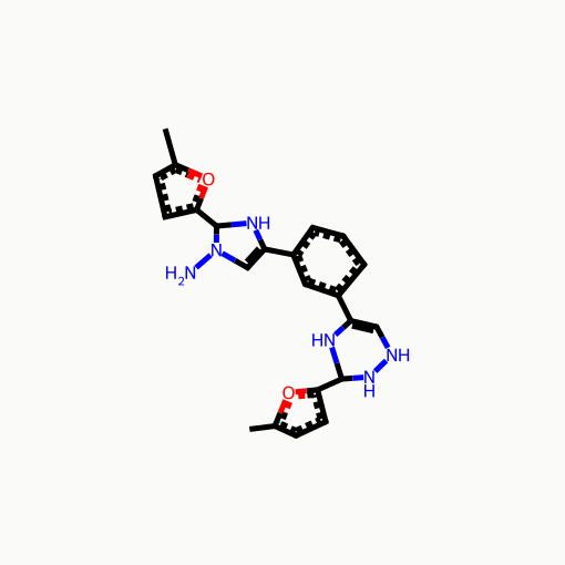 Cc1ccc(C2NNC=C(c3cccc(C4=CN(N)C(c5ccc(C)o5)N4)c3)N2)o1